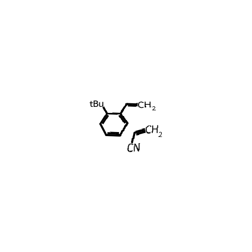 C=CC#N.C=Cc1ccccc1C(C)(C)C